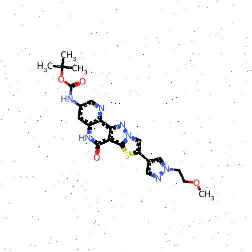 COCCn1cc(-c2cn3nc4c5ncc(NC(=O)OC(C)(C)C)cc5[nH]c(=O)c4c3s2)cn1